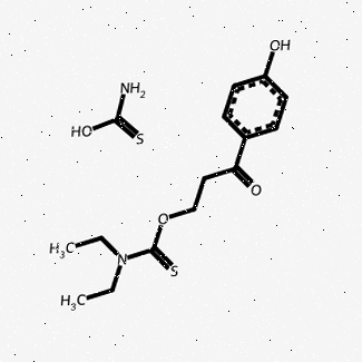 CCN(CC)C(=S)OCCC(=O)c1ccc(O)cc1.NC(O)=S